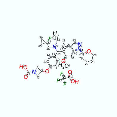 COc1cc(OC2CN(C(=O)O)C2)ccc1[C@@H]1c2ccc3c(cnn3C3CCCCO3)c2C[C@@H](C)N1CC1(F)CC1.O=C(O)C(F)(F)F